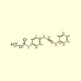 COC(=O)Cc1ccc(CC#CCc2ccccc2)cc1